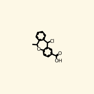 CC1Oc2ccc(C(=O)O)cc2C(Cl)c2ccccc21